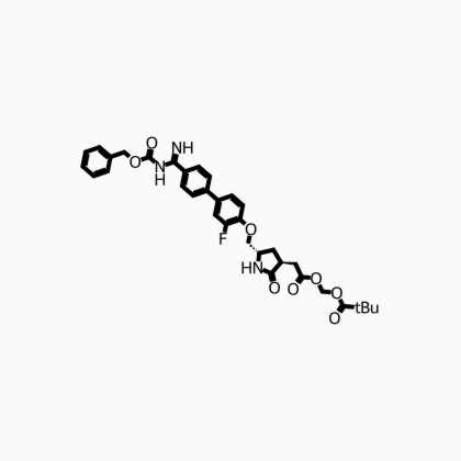 CC(C)(C)C(=O)OCOC(=O)C[C@@H]1C[C@@H](COc2ccc(-c3ccc(C(=N)NC(=O)OCc4ccccc4)cc3)cc2F)NC1=O